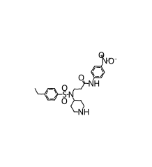 CCc1ccc(S(=O)(=O)N(CCC(=O)Nc2ccc([N+](=O)[O-])cc2)C2CCNCC2)cc1